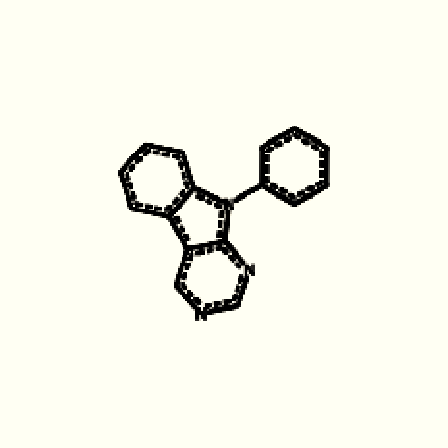 c1ccc(-n2c3ccccc3c3cncnc32)cc1